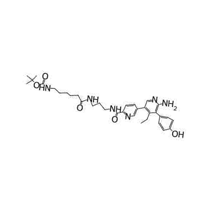 CCc1c(-c2ccc(C(=O)NCCCNC(=O)CCCCCNC(=O)OC(C)(C)C)nc2)cnc(N)c1-c1ccc(O)cc1